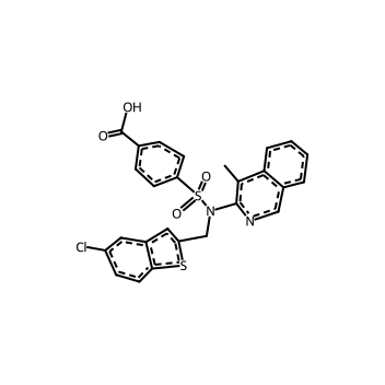 Cc1c(N(Cc2cc3cc(Cl)ccc3s2)S(=O)(=O)c2ccc(C(=O)O)cc2)ncc2ccccc12